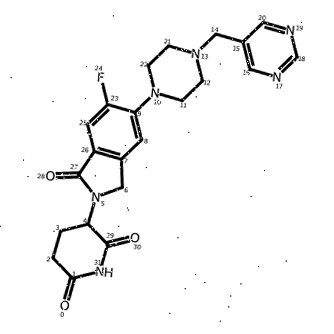 O=C1CCC(N2Cc3cc(N4CCN(Cc5cncnc5)CC4)c(F)cc3C2=O)C(=O)N1